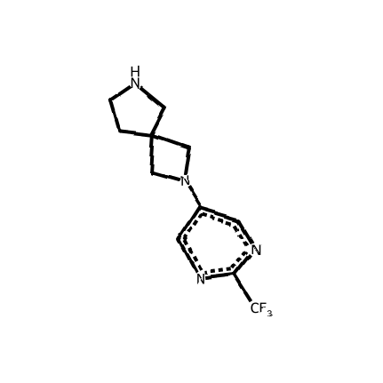 FC(F)(F)c1ncc(N2CC3(CCNC3)C2)cn1